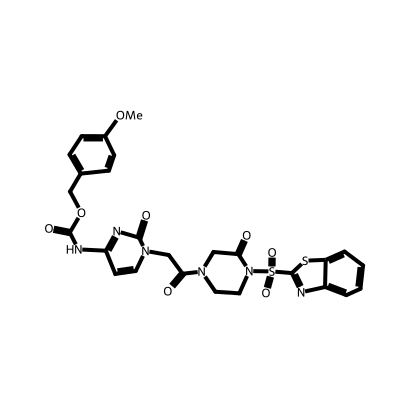 COc1ccc(COC(=O)Nc2ccn(CC(=O)N3CCN(S(=O)(=O)c4nc5ccccc5s4)C(=O)C3)c(=O)n2)cc1